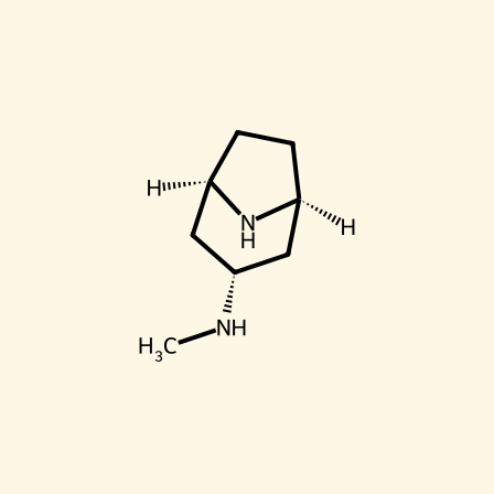 CN[C@@H]1C[C@H]2CC[C@@H](C1)N2